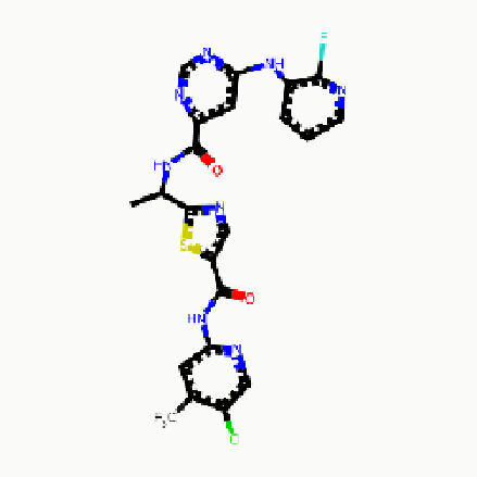 CC(NC(=O)c1cc(Nc2cccnc2F)ncn1)c1ncc(C(=O)Nc2cc(C(F)(F)F)c(Cl)cn2)s1